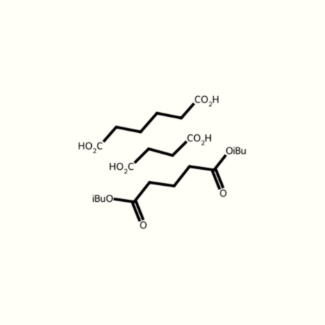 CC(C)COC(=O)CCCC(=O)OCC(C)C.O=C(O)CCC(=O)O.O=C(O)CCCCC(=O)O